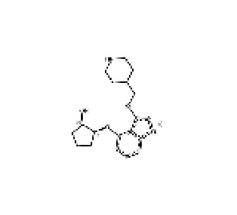 Cl.O[C@@H]1CCC[C@@H]1Oc1cccc2onc(OCC3CCNCC3)c12